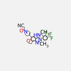 Cc1nc(NC(C)c2cccc(C(F)F)c2F)c2cc(C3=CCN(C(=O)CC#N)CC3)c3c(c2n1)CCO3